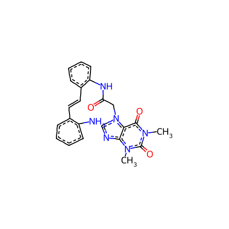 Cn1c(=O)c2c(ncn2CC(=O)Nc2ccccc2/C=C/c2ccccc2N)n(C)c1=O